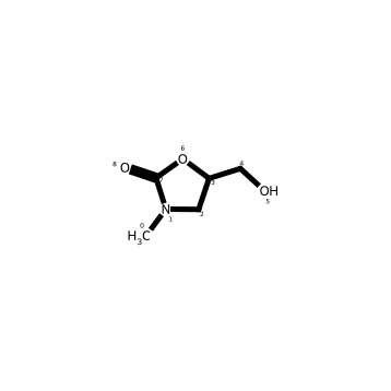 CN1CC(CO)OC1=O